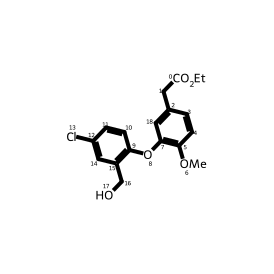 CCOC(=O)Cc1ccc(OC)c(Oc2ccc(Cl)cc2CO)c1